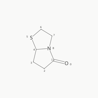 O=C1CCC2SCCN12